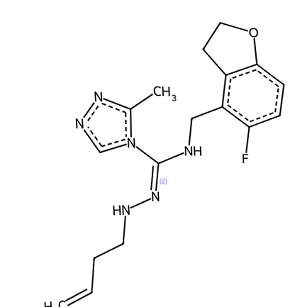 C=CCCN/N=C(/NCc1c(F)ccc2c1CCO2)n1cnnc1C